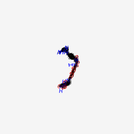 N#Cc1ccc2nccc(NCCc3ccc4cc(C(=O)N5CCN(C(=O)CCNC(=O)CCOCCOCCOCCOCCNc6cccc7c6C(=O)N(C6CCC(=O)NC6=O)C7=O)CC5)ccc4c3)c2c1